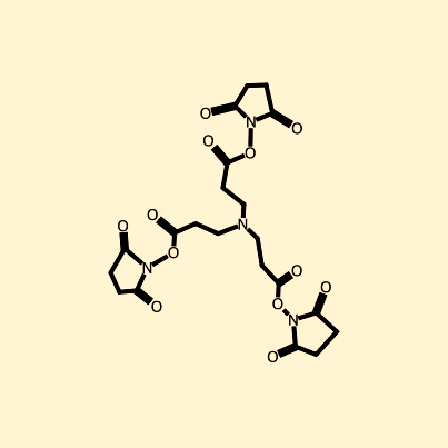 O=C(CCN(CCC(=O)ON1C(=O)CCC1=O)CCC(=O)ON1C(=O)CCC1=O)ON1C(=O)CCC1=O